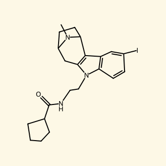 CN1C2CCC1c1c(n(CCNC(=O)C3CCCC3)c3ccc(I)cc13)C2